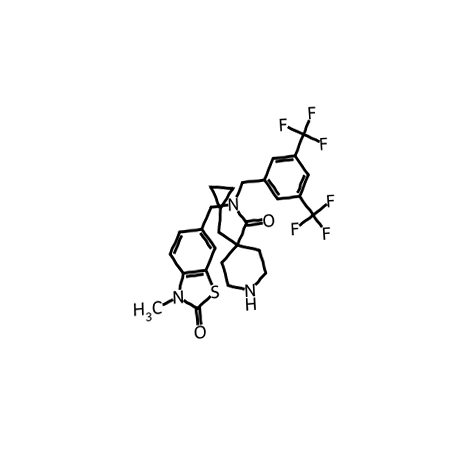 Cn1c(=O)sc2cc(CN(Cc3cc(C(F)(F)F)cc(C(F)(F)F)c3)C(=O)C3(CC4CC4)CCNCC3)ccc21